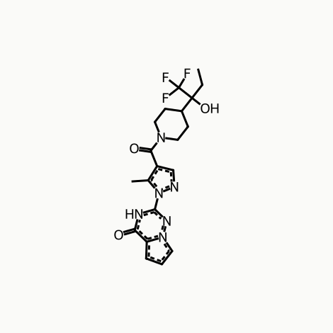 CCC(O)(C1CCN(C(=O)c2cnn(-c3nn4cccc4c(=O)[nH]3)c2C)CC1)C(F)(F)F